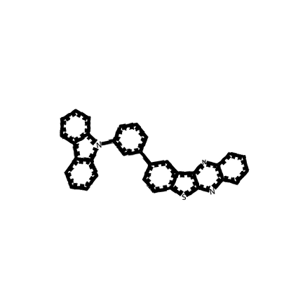 c1cc(-c2ccc3sc4nc5ccccc5nc4c3c2)cc(-n2c3ccccc3c3ccccc32)c1